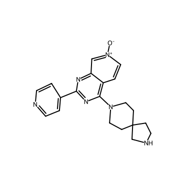 [O-][n+]1ccc2c(N3CCC4(CCNC4)CC3)nc(-c3ccncc3)nc2c1